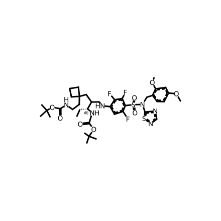 CC[C@@H](NC(=O)OC(C)(C)C)C(CNc1cc(F)c(S(=O)(=O)N(Cc2ccc(OC)cc2OC)c2ncns2)c(F)c1F)CC1(CCNC(=O)OC(C)(C)C)CCC1